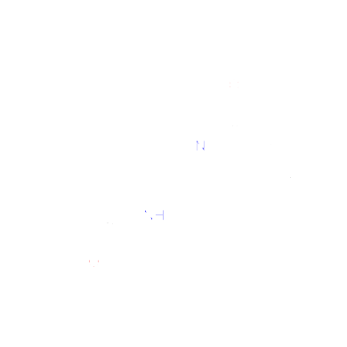 O=C1NC2(CN(C(=O)C3CC3)C2)c2ccccc21